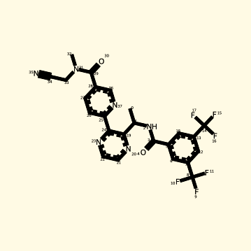 CC(NC(=O)c1cc(C(F)(F)F)cc(C(F)(F)F)c1)c1nccnc1-c1ccc(C(=O)N(C)CC#N)cn1